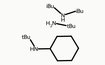 CC(C)(C)N.CC(C)(C)NC1CCCCC1.CCC(C)NC(C)CC